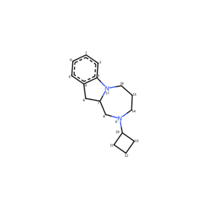 c1ccc2c(c1)CC1CN(C3CCC3)CCCN21